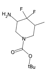 CC1CN(C(=O)OC(C)(C)C)CC(N)C1(F)F